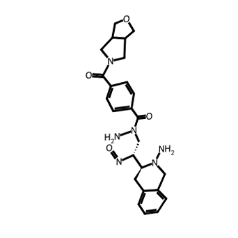 NN(C[C@@H](N=O)[C@@H]1Cc2ccccc2CN1N)C(=O)c1ccc(C(=O)N2CC3COCC3C2)cc1